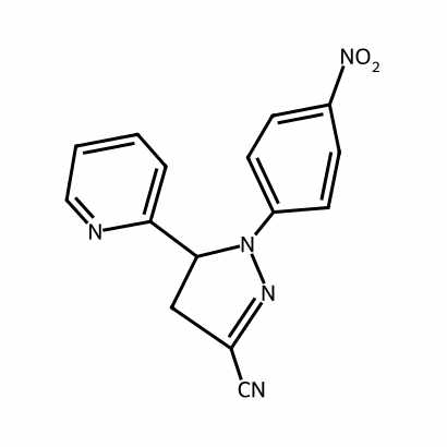 N#CC1=NN(c2ccc([N+](=O)[O-])cc2)C(c2ccccn2)C1